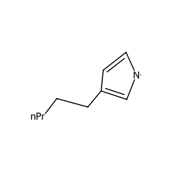 CCCCCC1=C[N]C=C1